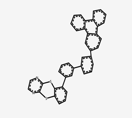 c1cc(-c2cccc(-c3cccc4c3Sc3nccnc3S4)c2)cc(-c2ccc3c4ccccc4c4ccccc4c3c2)c1